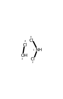 ClNCl.OCl